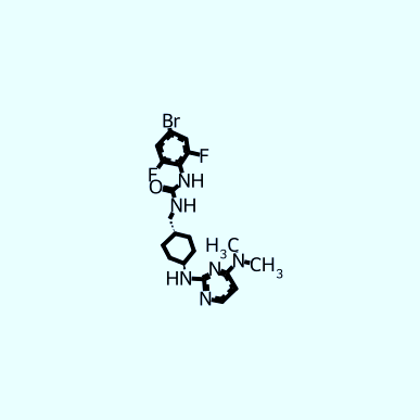 CN(C)c1ccnc(N[C@H]2CC[C@@H](CNC(=O)Nc3c(F)cc(Br)cc3F)CC2)n1